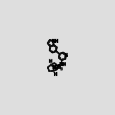 CN1[C@@H]2CC[C@H]1C[C@@H](Nc1cncc(-c3ccc4cc[nH]c4c3)c1)C2